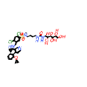 CN(CCCCNC(=O)NC[C@H](O)[C@@H](O)[C@H](O)[C@H](O)CO)S(=O)(=O)c1cc(CNC2(c3cnccc3-c3ccccc3OC3CC3)CC2)c(Cl)cc1Cl